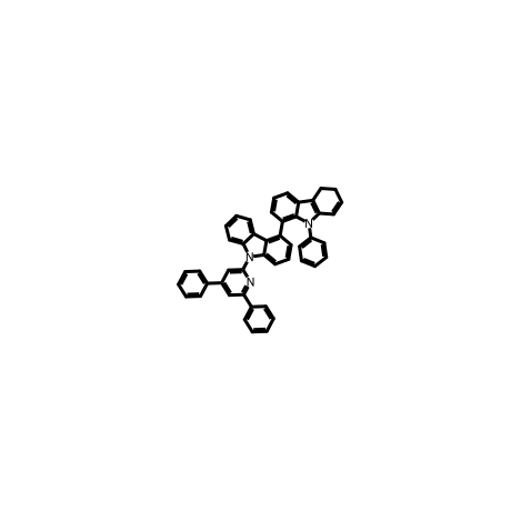 C1=Cc2c(c3cccc(-c4cccc5c4c4ccccc4n5-c4cc(-c5ccccc5)cc(-c5ccccc5)n4)c3n2-c2ccccc2)CC1